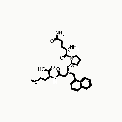 CSCCC(NC(=O)CN(Cc1cccc2ccccc12)C[C@@H]1CCCN1C(=O)[C@@H](N)CCC(N)=O)C(=O)O